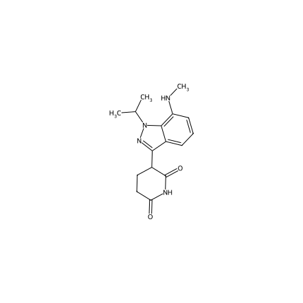 CNc1cccc2c(C3CCC(=O)NC3=O)nn(C(C)C)c12